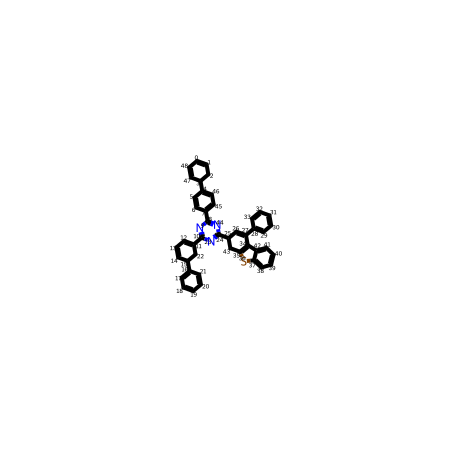 C1=CCC(c2ccc(-c3nc(C4=CC=CC(c5ccccc5)C4)nc(C4C=C(c5ccccc5)c5c(sc6ccccc56)C4)n3)cc2)C=C1